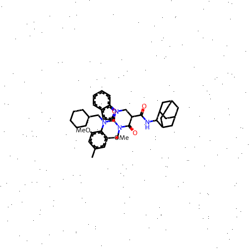 COc1cc(C)cc(OC)c1N(CC1CCCCC1)C(=O)N(C)C(=O)C(Cn1ccc2ccccc21)C(=O)NC1C2CC3CC(C2)CC1C3